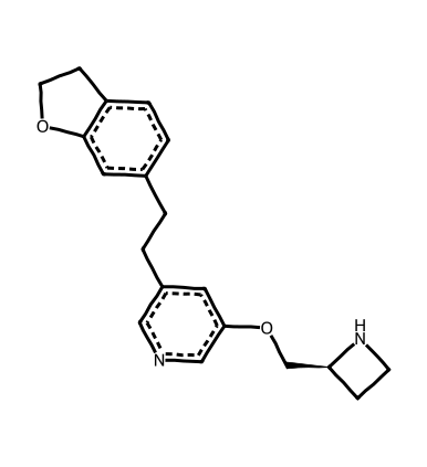 c1cc2c(cc1CCc1cncc(OC[C@@H]3CCN3)c1)OCC2